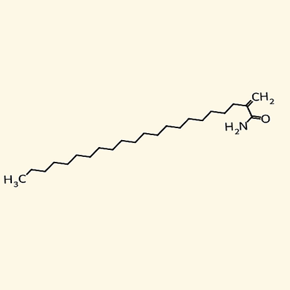 C=C(CCCCCCCCCCCCCCCCCCCC)C(N)=O